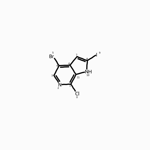 Clc1ncc(Br)c2cc(I)[nH]c12